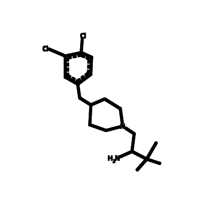 CC(C)(C)C(N)CN1CCC(Cc2ccc(Cl)c(Cl)c2)CC1